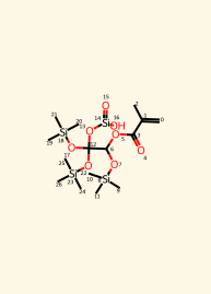 C=C(C)C(=O)OC(O[Si](C)(C)C)C(O[Si](=O)O)(O[Si](C)(C)C)O[Si](C)(C)C